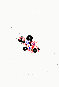 O=C(N[C@@H](Cc1ccccc1)[C@@H](CN(OC1CCCC1)S(=O)(=O)c1ccc2c(c1)OCCO2)OP(=O)(O)O)OC1CO[C@H]2OCC[C@@H]12